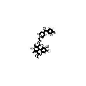 COC(=O)C1=C(C)NC(C)=C(C(=O)OCCN2CCC(C(=O)c3ccc(F)cc3)CC2)C1c1ccc(Cl)c(Cl)c1